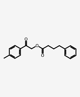 Cc1ccc(C(=O)COC(=O)CCCc2ccccc2)cc1